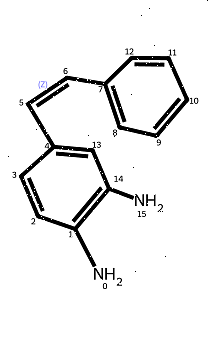 Nc1ccc(/C=C\c2ccccc2)cc1N